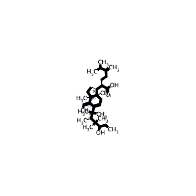 C=C(CC[C@@H](C(=O)O)[C@H]1CC[C@@]2(C)/C(=C/C)C(C(C)(C)[C@@H](C)C(C)(C)C(O)CC)=CC[C@]12C)C(C)C